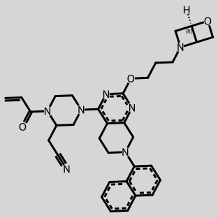 C=CC(=O)N1CCN(c2nc(OCCCN3C[C@H]4OCC43)nc3c2CCN(c2cccc4ccccc24)C3)CC1CC#N